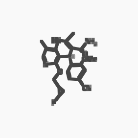 COc1cc(C#N)ccc1[C@@H]1C(C(N)=O)=C(C)Nc2c(C)cnc(OCC3CC3F)c21